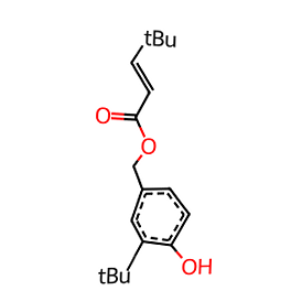 CC(C)(C)C=CC(=O)OCc1ccc(O)c(C(C)(C)C)c1